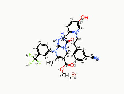 COC(=O)C1=C(C)N(c2cccc(C(F)(F)F)c2)c2n[nH]c(=O)n2[C@@H]1c1ccc(C#N)cc1CC[n+]1cc(O)ccc1C.[Br-]